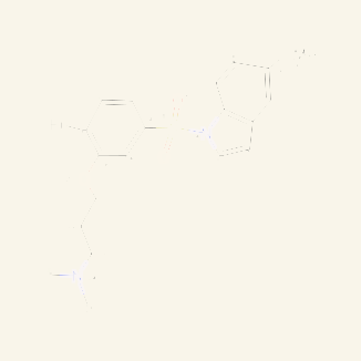 CCc1ccc(S(=O)(=O)n2ccc3cc(OC)ccc32)cc1OCCCN(C)C